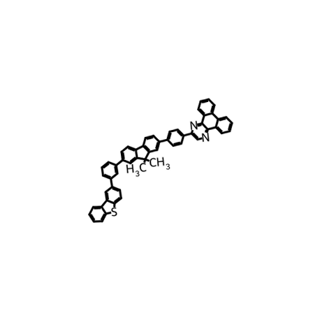 CC1(C)c2cc(-c3ccc(-c4cnc5c6ccccc6c6ccccc6c5n4)cc3)ccc2-c2ccc(-c3cccc(-c4ccc5sc6ccccc6c5c4)c3)cc21